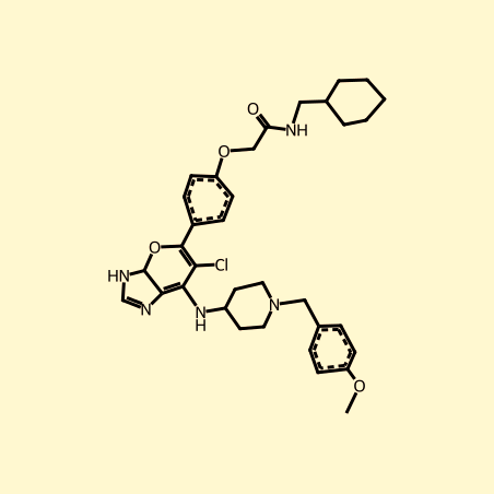 COc1ccc(CN2CCC(NC3=C4N=CNC4OC(c4ccc(OCC(=O)NCC5CCCCC5)cc4)=C3Cl)CC2)cc1